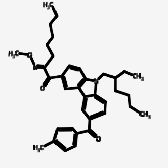 CCCCCC/C(=N\OC)C(=O)c1ccc2c(c1)c1cc(C(=O)c3ccc(C)cc3)ccc1n2CC(CC)CCCC